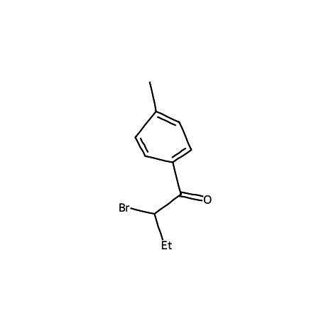 CCC(Br)C(=O)c1ccc(C)cc1